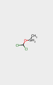 C[SiH2]OC(Cl)Cl